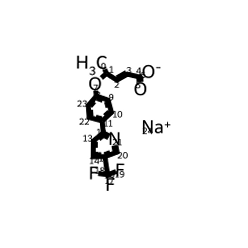 CC(C=CC(=O)[O-])Oc1ccc(-c2ccc(C(F)(F)F)cn2)cc1.[Na+]